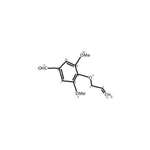 C=CCOc1c(OC)cc([C]=O)cc1OC